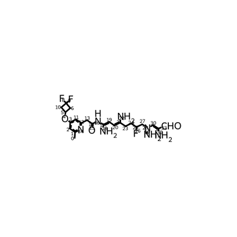 Cc1cc(OC2CC(F)(F)C2)cc(CC(=O)N/C(N)=C/C=C(\N)CCC(F)CN(N)/C=C(\N)C=O)n1